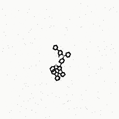 Cc1cc(-c2ccccc2)ccc1N(c1ccccc1)c1ccc(-c2cc3c(c4c5c(oc24)C=CCC5)C2(c4c#cccc4-c4ccccc42)c2ccccc2-3)cc1